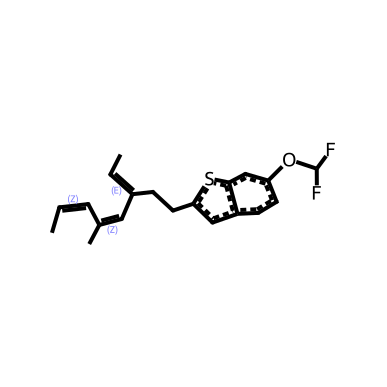 C\C=C/C(C)=C\C(=C\C)CCc1cc2ccc(OC(F)F)cc2s1